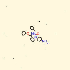 Nc1ccc(N2C(=O)N(Cc3ccccc3)N=C(COc3ccccc3)c3ccccc32)cc1